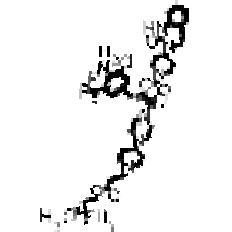 CN(C)CCOC(=O)CCN1CCC(N2CCN(C(=O)[C@@H](Cc3cc(Cl)c(N)c(C(F)(F)F)c3)OC(=O)N3CCC(N4CCc5ccccc5NC4=O)CC3)CC2)CC1